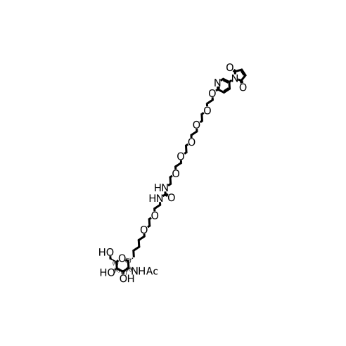 CC(=O)N[C@@H]1[C@@H](O)[C@@H](O)[C@@H](CO)O[C@@H]1CCCCCOCCOCCNC(=O)NCCOCCOCCOCCOCCOCCOc1ccc(N2C(=O)C=CC2=O)cn1